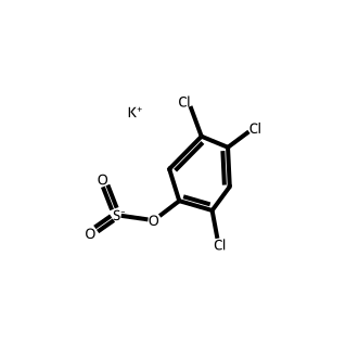 O=[S-](=O)Oc1cc(Cl)c(Cl)cc1Cl.[K+]